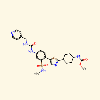 CC(C)OC(=O)NC1CCC(c2ncc(-c3ccc(NC(=O)NCc4ccncc4)cc3S(=O)(=O)NC(C)(C)C)s2)CC1